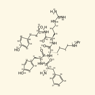 CC(C)NCCCC[C@H](NC(=O)[C@H](Cc1ccc(O)cc1)NC(=O)[C@@H](N)Cc1ccccc1)C(=O)N[C@H](CCCNC(=N)N)C(=O)N[C@@H](CCc1ccc(O)cc1)C(=O)O